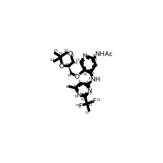 CC(=O)Nc1cc(Nc2cc(C)nc(C(C)(F)F)n2)c(OC[C@@H]2COCC(C)(C)O2)cn1